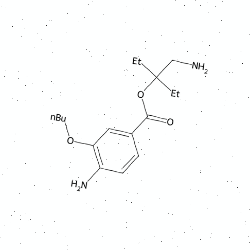 CCCCOc1cc(C(=O)OC(CC)(CC)CN)ccc1N